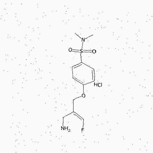 CN(C)S(=O)(=O)c1ccc(OCC(=CF)CN)cc1.Cl